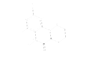 CCc1nc(Cl)nc2c1N(C)C(=O)C1CCCCN21